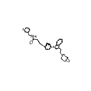 O=C(CCc1ccc(-n2cc(CCN3CCOCC3)c3ccccc32)cc1)NCc1cccnc1